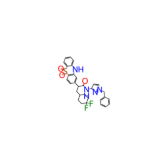 O=C(Nc1ccn(Cc2ccccc2)n1)C(CC1CCC(F)(F)CC1)c1ccc2c(c1)Nc1ccccc1S2(=O)=O